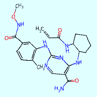 C=CC(=O)NC1CCCCC1Nc1nc(Nc2cc(C(=O)NOC)ccc2C)ncc1C(N)=O